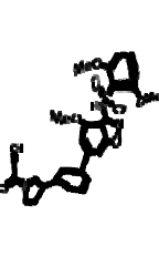 C#CC(=O)N1CCC(c2cccc(-c3cc(OC)c4c(NS(=O)(=O)c5c(OC)cccc5OC)noc4c3)c2)C1